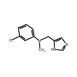 CN(Cc1cnc[nH]1)c1cccc(Cl)c1